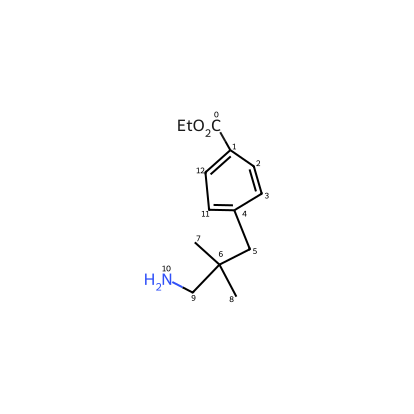 CCOC(=O)c1ccc(CC(C)(C)CN)cc1